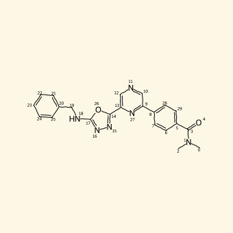 CN(C)C(=O)c1ccc(-c2cncc(-c3nnc(NCc4ccccc4)o3)n2)cc1